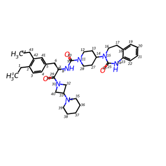 CCc1ccc(C[C@@H](NC(=O)N2CCC(N3CCc4ccccc4NC3=O)CC2)C(=O)N2CC(N3CCCCC3)C2)cc1CC